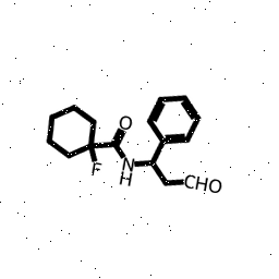 O=CCC(NC(=O)C1(F)CCCCC1)c1ccccc1